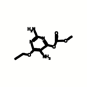 CCOc1nc(N)nc(OC(=O)OC)c1N